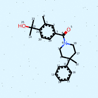 Cc1cc(C(=O)N2CCC(C)(c3ccccc3)CC2)ccc1C(C)(C)O